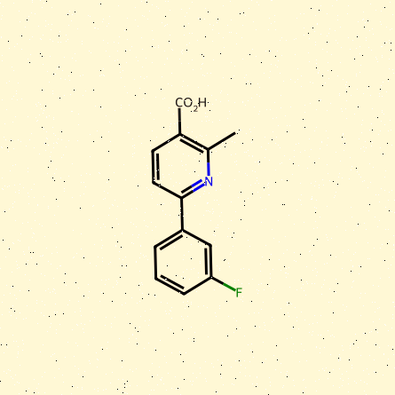 Cc1nc(-c2cccc(F)c2)ccc1C(=O)O